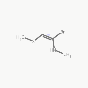 CN/C(Br)=C\SC